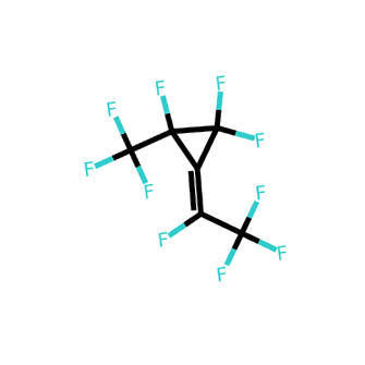 FC(=C1C(F)(F)C1(F)C(F)(F)F)C(F)(F)F